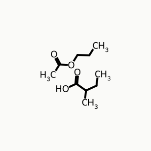 CCC(C)C(=O)O.CCCOC(C)=O